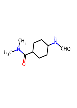 CN(C)C(=O)C1CCC(N[C]=O)CC1